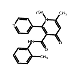 CCCCn1c(C)cc(=O)c(C(=O)Nc2ccccc2C)c1-c1ccncc1